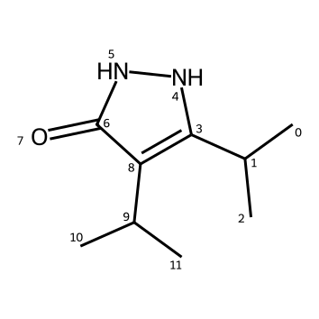 CC(C)c1[nH][nH]c(=O)c1C(C)C